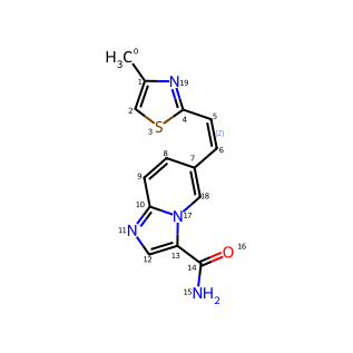 Cc1csc(/C=C\c2ccc3ncc(C(N)=O)n3c2)n1